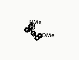 CNC(=O)Cn1c(=O)n(C2CCN(C3CCCc4cc(OC)ccc43)CC2)c2ccccc21